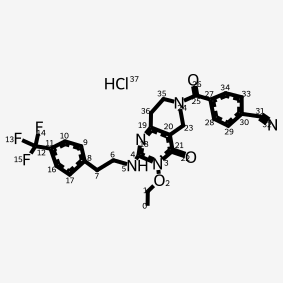 CCOn1c(NCCc2ccc(C(F)(F)F)cc2)nc2c(c1=O)CN(C(=O)c1ccc(C#N)cc1)CC2.Cl